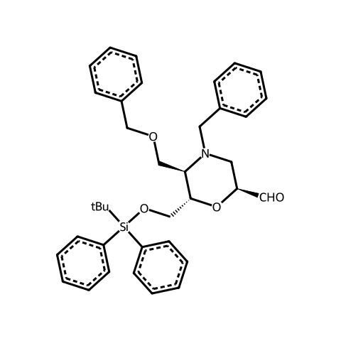 CC(C)(C)[Si](OC[C@H]1O[C@H](C=O)CN(Cc2ccccc2)[C@@H]1COCc1ccccc1)(c1ccccc1)c1ccccc1